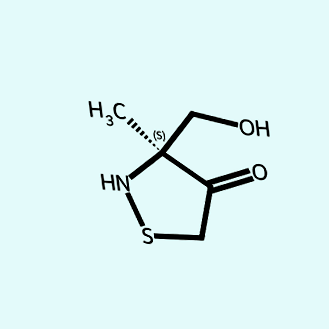 C[C@@]1(CO)NSCC1=O